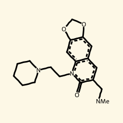 CNCc1cc2cc3c(cc2n(CCN2CCCCC2)c1=O)OCO3